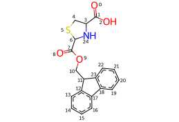 O=C(O)C1CSC(C(=O)OCC2c3ccccc3-c3ccccc32)N1